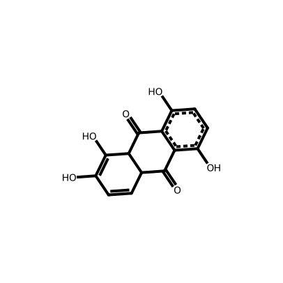 O=C1c2c(O)ccc(O)c2C(=O)C2C(O)=C(O)C=CC12